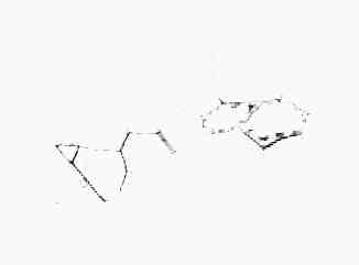 CC(C)(C)c1c(NC(=O)CC2CC[C@H]3C[C@@H]23)nn2cccnc12